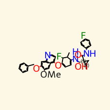 COc1cc2c(OC3=CC=C(NC(O)[C@]4(C(=O)Nc5ccc(F)cc5)C[C@H]4C)C(C)C3F)ccnc2cc1OCc1ccccc1